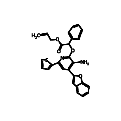 C=CCOC(=O)C(Oc1nc(-c2cccs2)cc(-c2cc3ccccc3o2)c1N)c1ccccc1